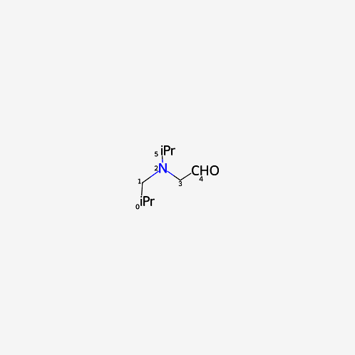 CC(C)CN(CC=O)C(C)C